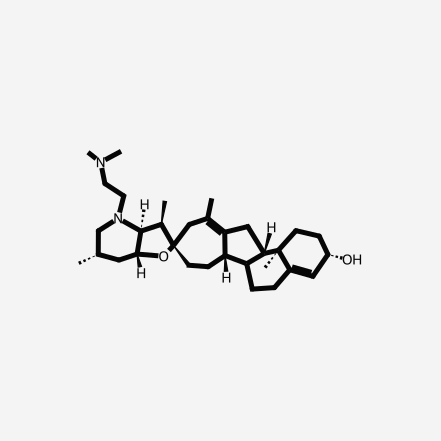 CC1=C2C[C@H]3C(CCC4=C[C@@H](O)CC[C@@]43C)[C@@H]2CC[C@@]2(C1)O[C@@H]1C[C@H](C)CN(CCN(C)C)[C@H]1[C@H]2C